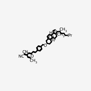 CC1=CC(=C(C#N)C#N)C=C(/C=C/c2ccc(COC3CC[C@@]4(C)C(=CC[C@H]5[C@@H]6CC[C@H]([C@H](C)CCCC(C)C)[C@@]6(C)CC[C@@H]54)C3)cc2)O1